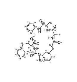 CC(NC(=O)OCc1ccccc1)C(=O)NC(C)C(=O)Nc1cccnc1OOC(=O)[C@]1(NC(=O)OC(C)(C)C)CCc2ccccc2C1